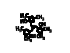 Cc1cc(C)c(O)c(CN(Cc2cc(C)cc(C)c2O)Cc2cc(C)cc(C)c2O)c1